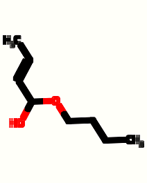 CC=CC(O)OCCCC